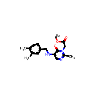 Cc1ccc(CNc2cnc(C)n(CC(=O)OC(C)(C)C)c2=O)cc1C